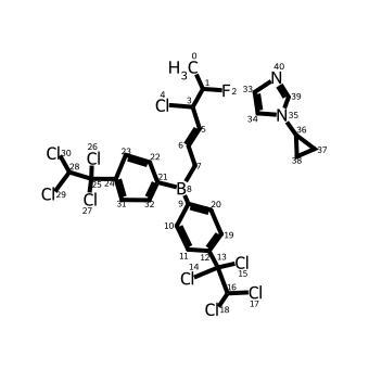 CC(F)C(Cl)C=CCB(c1ccc(C(Cl)(Cl)C(Cl)Cl)cc1)c1ccc(C(Cl)(Cl)C(Cl)Cl)cc1.c1cn(C2CC2)cn1